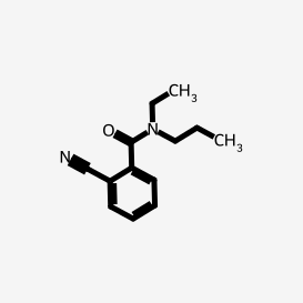 CCCN(CC)C(=O)c1ccccc1C#N